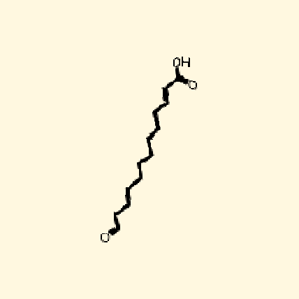 O=CCCCCCCCCCC=CC(=O)O